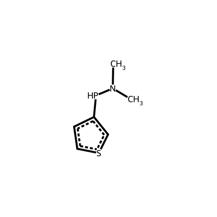 CN(C)Pc1ccsc1